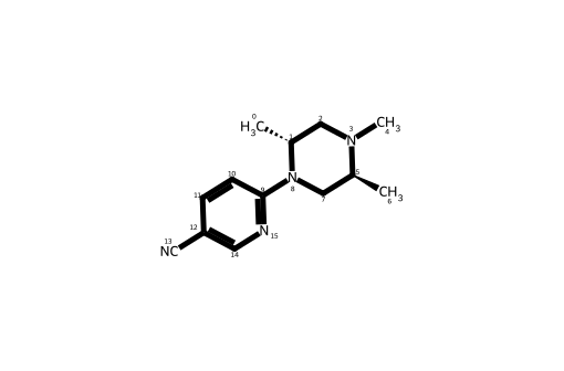 C[C@@H]1CN(C)[C@@H](C)CN1c1ccc(C#N)cn1